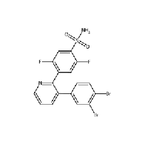 NS(=O)(=O)c1cc(F)c(-c2ncccc2-c2ccc(Br)c(Br)c2)cc1F